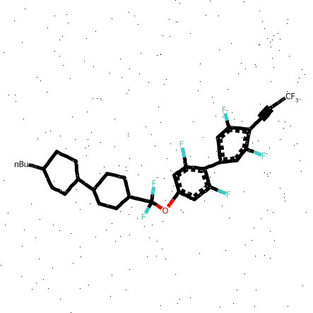 CCCCC1CCC(C2CCC(C(F)(F)Oc3cc(F)c(-c4cc(F)c(C#CC(F)(F)F)c(F)c4)c(F)c3)CC2)CC1